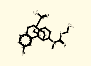 CN(C(=O)OCC(Cl)(Cl)Cl)C1CCC23CCC1C21CCN(C(=O)C(F)(F)F)C3Cc2ccc(O)cc21